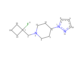 FC1(CN2CCC(n3cccn3)CC2)CCC1